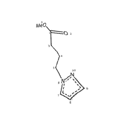 COC(=O)CCCn1c[c]cn1